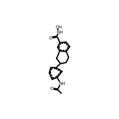 CC(=O)Nc1cccc(C2CCc3ccc(C(=O)NO)cc3C2)c1